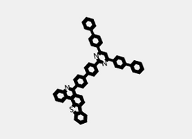 c1ccc(-c2ccc(-c3cc(-c4ccc(-c5ccccc5)cc4)nc(-c4ccc(-c5ccc(-c6nc7ccccc7c7c6ccc6c8ccccc8sc67)cc5)cc4)n3)cc2)cc1